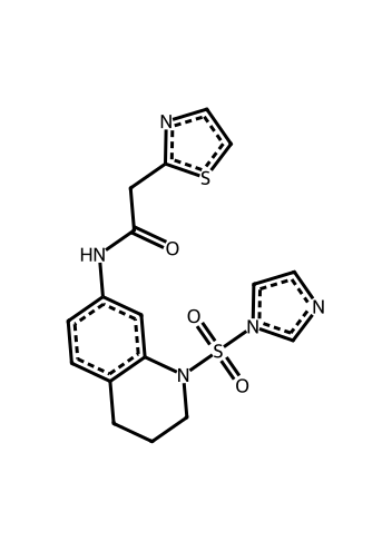 O=C(Cc1nccs1)Nc1ccc2c(c1)N(S(=O)(=O)n1ccnc1)CCC2